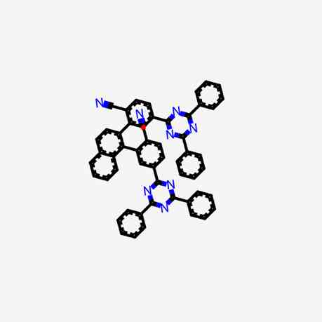 N#Cc1ccc(-c2nc(-c3ccccc3)nc(-c3ccccc3)n2)cc1-c1ccc2ccccc2c1-c1cc(-c2nc(-c3ccccc3)nc(-c3ccccc3)n2)ccc1C#N